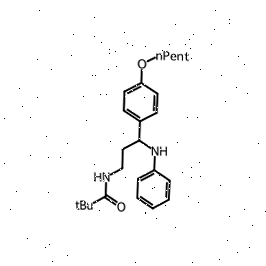 CCCCCOc1ccc(C(CCNC(=O)C(C)(C)C)Nc2ccccc2)cc1